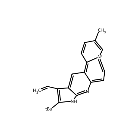 C=Cc1c(C(C)(C)C)[nH]c2nc3cc[n+]4cc(C)ccc4c3cc12